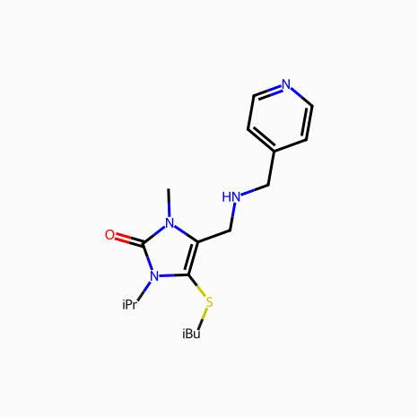 CCC(C)Sc1c(CNCc2ccncc2)n(C)c(=O)n1C(C)C